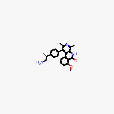 COc1cccc2c1c(=O)[nH]c1c(C)nc(C)c(-c3ccc([C@@H](C)CN)cc3)c12